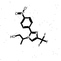 CC(CO)n1cc(C(F)(F)F)nc1-c1ccc([N+](=O)[O-])cc1